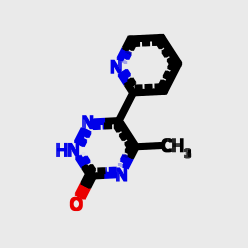 Cc1nc(=O)[nH]nc1-c1ccccn1